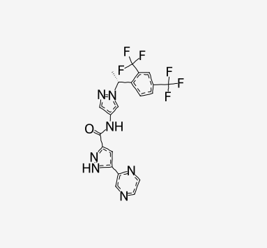 C[C@H](c1ccc(C(F)(F)F)cc1C(F)(F)F)n1cc(NC(=O)c2cc(-c3cnccn3)[nH]n2)cn1